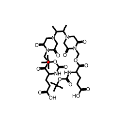 CC(C(C)N1CC(=O)N(COC(=O)C(CCC(=O)O)NC(=O)OC(C)(C)C)C(=O)C1)N1CC(=O)N(COC(=O)C(CCC(=O)O)NC(=O)OC(C)(C)C)C(=O)C1